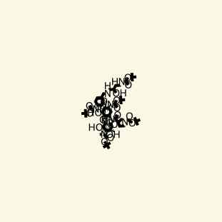 CN(C(=O)OC(C)(C)C)[C@@H]1[C@@H](O)[C@@H](O[C@H]2[C@H](NC(=O)C3(O)CCN(C(=O)OC(C)(C)C)C3)C[C@H](NC(=O)OC(C)(C)C)C([C@H]3OC(CNCC(O)CCNC(=O)OC(C)(C)C)=CC[C@H]3NC(=O)OC(C)(C)C)[C@@H]2O)OC[C@]1(C)O